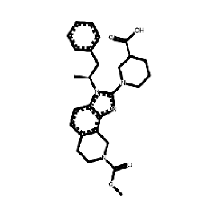 COC(=O)N1CCc2ccc3c(nc(N4CCC[C@H](C(=O)O)C4)n3[C@@H](C)Cc3ccccc3)c2C1